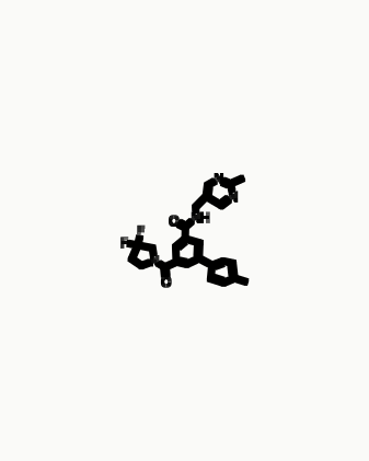 Cc1ccc(-c2cc(C(=O)NCc3cnc(C)nc3)cc(C(=O)N3CCC(F)(F)C3)c2)cc1